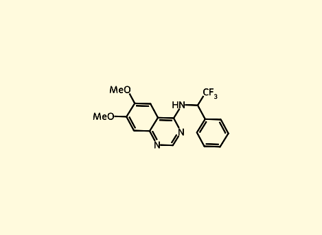 COc1cc2ncnc(NC(c3ccccc3)C(F)(F)F)c2cc1OC